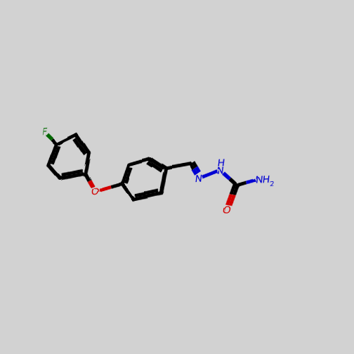 NC(=O)NN=Cc1ccc(Oc2ccc(F)cc2)cc1